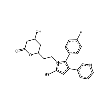 CC(C)c1cc(-c2cccnc2)c(-c2ccc(F)cc2)n1CCC1CC(O)CC(=O)O1